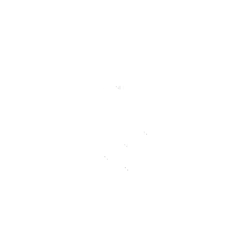 Cc1cnc(NC2CCC2)nc1Nc1ccc2c(c1)CCC(=O)N2